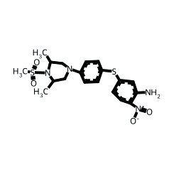 CC1CN(c2ccc(Sc3ccc([N+](=O)[O-])c(N)c3)cc2)CC(C)N1S(C)(=O)=O